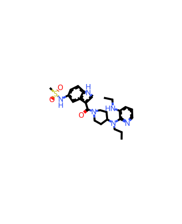 CCCN(c1ncccc1NCC)C1CCN(C(=O)c2c[nH]c3ccc(NS(C)(=O)=O)cc23)CC1